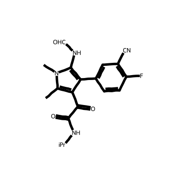 Cc1c(C(=O)C(=O)NC(C)C)c(-c2ccc(F)c(C#N)c2)c(NC=O)n1C